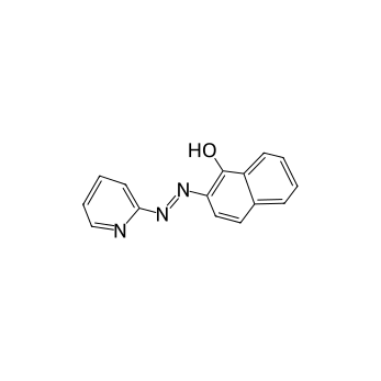 Oc1c(/N=N/c2ccccn2)ccc2ccccc12